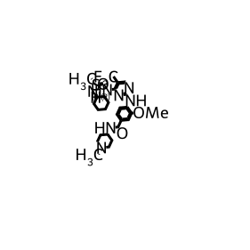 COc1cc(C(=O)NC2CCN(C)CC2)ccc1Nc1ncc(C(F)(F)F)c(N[C@@H]2CCCC[C@H]2N=[SH](C)=O)n1